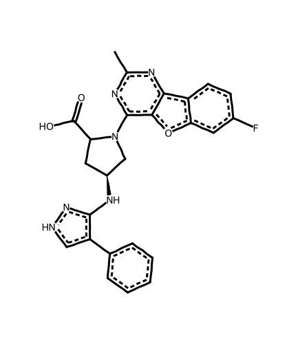 Cc1nc(N2C[C@@H](Nc3n[nH]cc3-c3ccccc3)CC2C(=O)O)c2oc3cc(F)ccc3c2n1